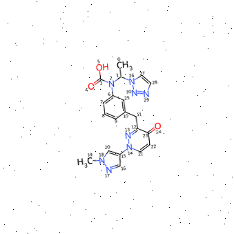 CC(N(C(=O)O)c1cccc(Cc2nn(-c3cnn(C)c3)ccc2=O)c1)n1ccnn1